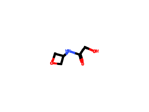 O=C(CO)NC1COC1